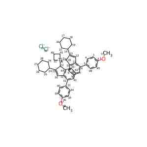 COc1ccc(-c2cccc3c2C=C(C2CCCCC2)[CH]3[Ti+2]2([CH]3C(C4CCCCC4)=Cc4c(-c5ccc(OC)cc5)cccc43)[CH2]C[CH2]2)cc1.[Cl-].[Cl-]